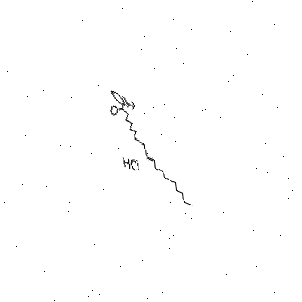 CCCCCCCCC=CCCCCCCCC(=O)O.Cl